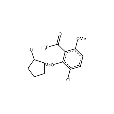 COc1ccc(Cl)c(OC)c1C(=O)P.[Li][CH]1CCCC1